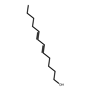 CCCC/C=C/C=C/CCCCO